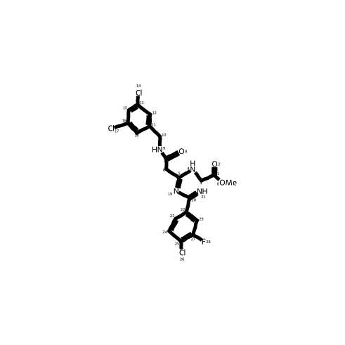 COC(=O)CN/C(CC(=O)NCc1cc(Cl)cc(Cl)c1)=N\C(=N)c1ccc(Cl)c(F)c1